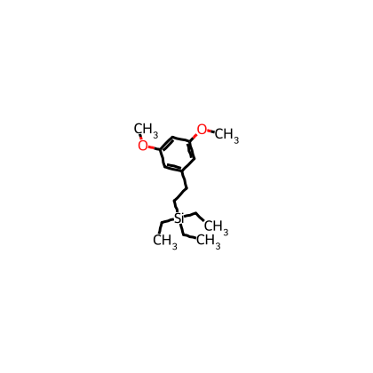 CC[Si](CC)(CC)CCc1cc(OC)cc(OC)c1